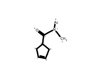 CC(=O)N(C)C(=O)C1CC=CC1